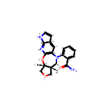 NC(=O)c1ccccc1N1C[C@@H]2COC[C@@H]2Oc2nc3[nH]ccc3cc21